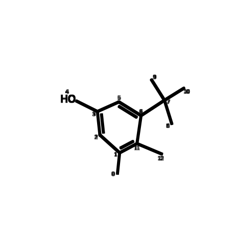 Cc1cc(O)cc(C(C)(C)C)c1C